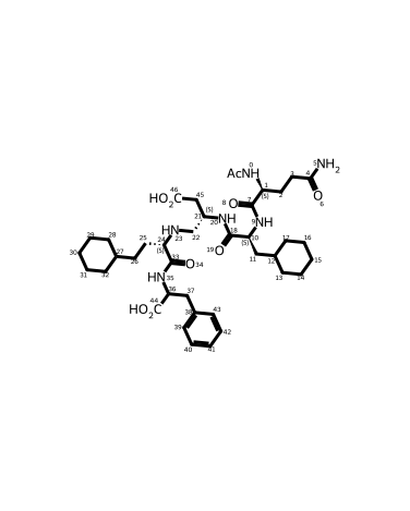 CC(=O)N[C@@H](CCC(N)=O)C(=O)N[C@@H](CC1CCCCC1)C(=O)N[C@H](CN[C@@H](CCC1CCCCC1)C(=O)NC(Cc1ccccc1)C(=O)O)CC(=O)O